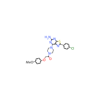 COc1ccc(OCC(=O)N2CCN(c3nc(N)nc4sc(-c5ccc(Cl)cc5)nc34)CC2)cc1